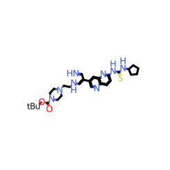 CC(C)(C)OC(=O)N1CCN(CCN/C=C(\C=N)c2cnc3ccc(NC(=S)NC4CCCC4)nc3c2)CC1